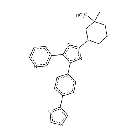 CC1(C(=O)O)CCCN(c2nc(-c3ccc(-c4cnco4)cc3)c(-c3cccnc3)s2)C1